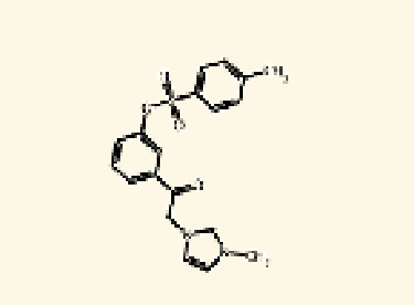 Cc1ccc(S(=O)(=O)Oc2cccc(C(=O)CN3[CH]N(C)C=C3)c2)cc1